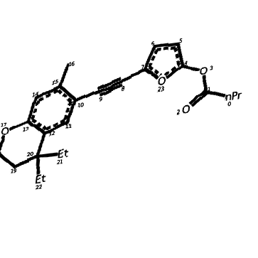 CCCC(=O)Oc1ccc(C#Cc2cc3c(cc2C)OCCC3(CC)CC)o1